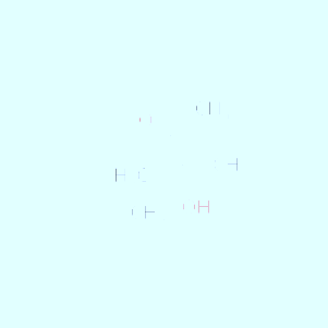 CC1CCC1OC(C)C(C)(C)O